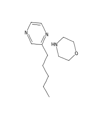 C1COCCN1.CCCCCc1cnccn1